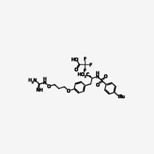 CC(C)(C)c1ccc(S(=O)(=O)N[C@@H](Cc2ccc(OCCCONC(=N)N)cc2)C(=O)O)cc1.O=C(O)C(F)(F)F